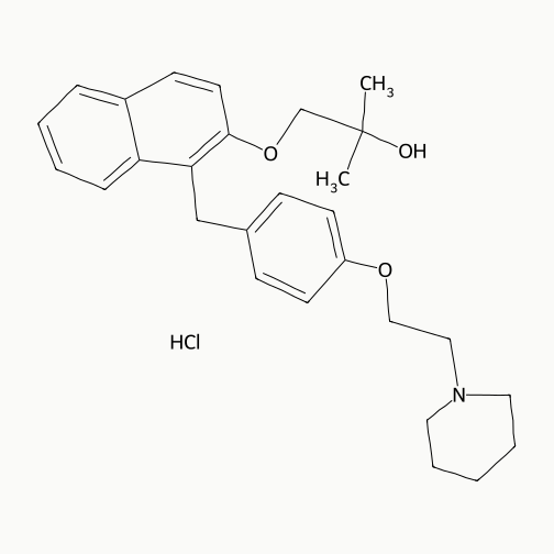 CC(C)(O)COc1ccc2ccccc2c1Cc1ccc(OCCN2CCCCC2)cc1.Cl